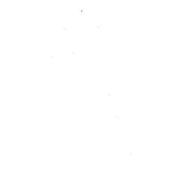 CCc1nc2c(N)ncc(-c3ccc(N4CCN(C5CCN(C)CC5)CC4C)c(OC)c3)c2nc1NC1CCOCC1